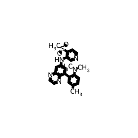 Cc1ccc(N(C)C)c(-c2cc(Nc3cnccc3S(C)(=O)=O)cc3nccnc23)c1